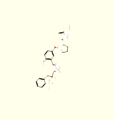 Cc1csc([C@H]2C[C@H](F)CN2C(=O)c2ccc(Cl)c(-c3nnc([C@@](C)(N)Cc4ccccc4)o3)c2)n1